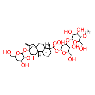 C=C1C[C@@]23CC[C@H]4[C@@](C)(CCC[C@@]4(C)C(=O)O[C@@H]4O[C@H](CO)[C@@H](O)[C@H](O[C@H]5O[C@H](CO)[C@@H](OC(C)C)[C@H](O)[C@H]5O)[C@H]4O)[C@@H]2CC[C@]1(O[C@@H]1O[C@H](CO)C[C@H](O)[C@H]1O)C3